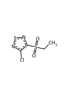 CCS(=O)(=O)c1nsnc1Cl